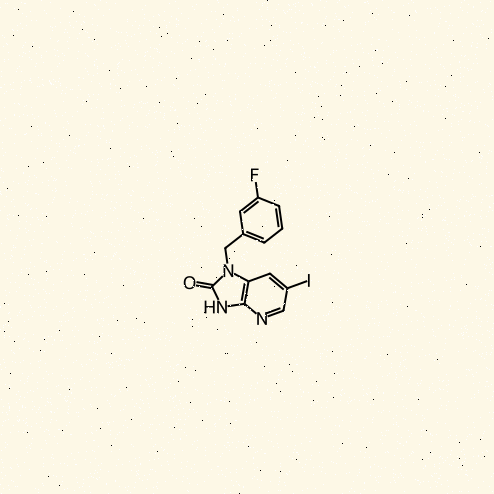 O=c1[nH]c2ncc(I)cc2n1Cc1cccc(F)c1